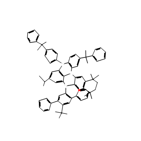 CC(C)c1cc2c3c(c1)N(c1cc(-c4ccccc4)c(C(C)(C)C)cc1-c1ccccc1)c1cc4c(cc1B3c1cc(C(C)(C)c3ccccc3)ccc1N2c1ccc(C(C)(C)c2ccccc2)cc1)C(C)(C)CCC4(C)C